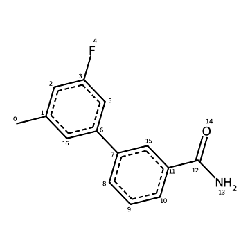 Cc1cc(F)cc(-c2cccc(C(N)=O)c2)c1